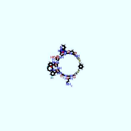 C[C@H]1NC(=O)[C@H](CCCCN)NC(=O)CCSCc2cccc(c2)CSCCNC(=O)[C@]2(C)CCCN2C(=O)[C@H](Cc2c[nH]c3ncccc23)NC(=O)[C@H](Cc2cnc[nH]2)NC(=O)[C@H](CC(=O)O)NC(=O)[C@H](Cc2c[nH]c3ccc(F)cc23)NC(=O)[C@H](CC2CNC3(C4/C=C\CCCCC4)CCC(F)CC23)NC1=O